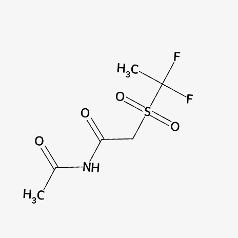 CC(=O)NC(=O)CS(=O)(=O)C(C)(F)F